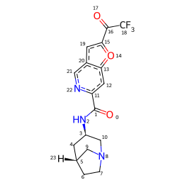 O=C(N[C@@H]1C[C@H]2CCN(C2)C1)c1cc2oc(C(=O)C(F)(F)F)cc2cn1